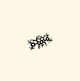 N#CC(C#N)=C1C(c2cc(C(F)(F)F)cc(C(F)(F)F)c2)=C(C#N)c2c1c(C(F)(F)F)c1c(c2C(F)(F)F)C(C#N)=C(c2cc(C(F)(F)F)cc(C(F)(F)F)c2)C1=C(C#N)C#N